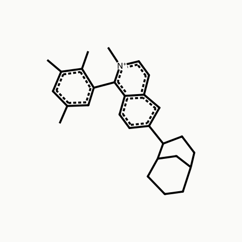 Cc1cc(C)c(C)c(-c2c3ccc(C4CCC5CCCC4C5)cc3cc[n+]2C)c1